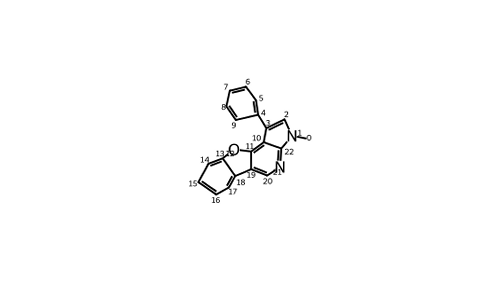 Cn1cc(-c2ccccc2)c2c3oc4ccccc4c3cnc21